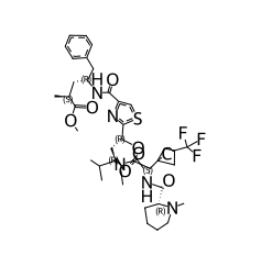 COC(=O)[C@@H](C)C[C@H](Cc1ccccc1)NC(=O)c1csc([C@@H](C[C@H](C(C)C)N(C)C(=O)[C@@H](NC(=O)[C@H]2CCCCN2C)C23CC(C(F)(F)F)(C2)C3)OC(C)=O)n1